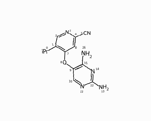 CC(C)c1cnc(C#N)cc1Oc1cnc(N)nc1N